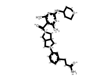 Cc1nc(NC2CCOCC2)nc(C)c1C(=O)N1CC2CN(c3cccc(CCC(N)=O)c3)CC2C1